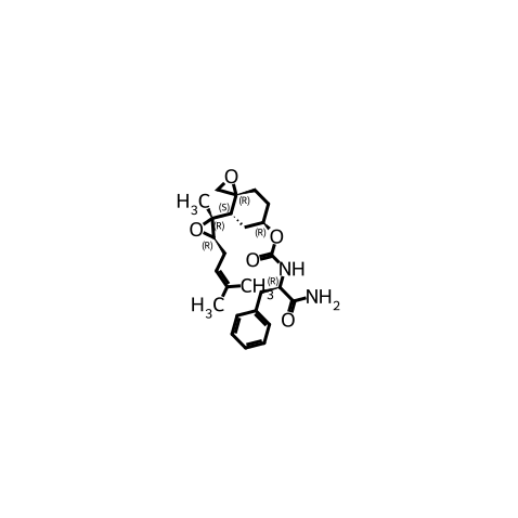 CC(C)=CC[C@H]1O[C@]1(C)[C@H]1C[C@H](OC(=O)N[C@H](Cc2ccccc2)C(N)=O)CC[C@]12CO2